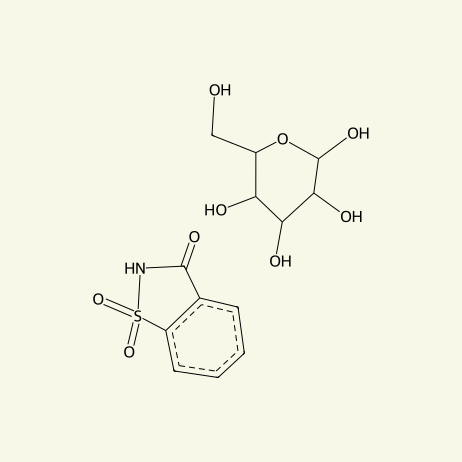 O=C1NS(=O)(=O)c2ccccc21.OCC1OC(O)C(O)C(O)C1O